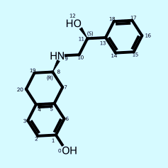 Oc1ccc2c(c1)C[C@H](NC[C@@H](O)c1ccccc1)CC2